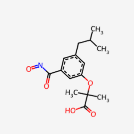 CC(C)Cc1cc(OC(C)(C)C(=O)O)cc(C(=O)N=O)c1